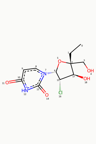 CC[C@]1(CO)O[C@@H](n2ccc(=O)[nH]c2=O)[C@@H](Cl)[C@@H]1O